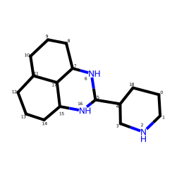 C1CNCC(C2NC3CCCC4CCCC(N2)C43)C1